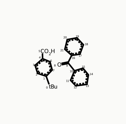 CC(C)(C)c1ccc(C(=O)O)cc1.O=C(c1ccccc1)c1ccccc1